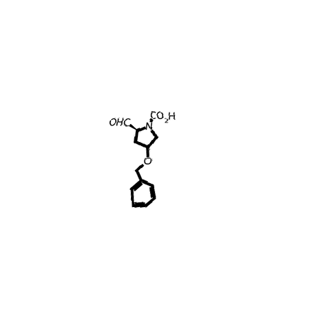 O=C[C@@H]1CC(OCc2ccccc2)CN1C(=O)O